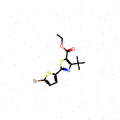 CCOC(=O)c1sc(-c2ccc(Br)s2)nc1C(C)(C)C